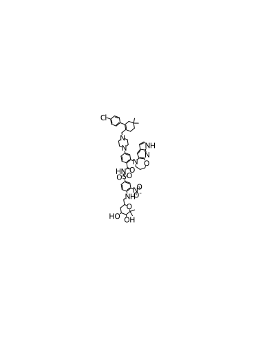 CC1(C)CCC(CN2CCN(c3ccc(C(=O)NS(=O)(=O)c4ccc(NCC5CC(O)C(O)C(C)(C)O5)c([N+](=O)[O-])c4)c(N4CCCOc5nc6[nH]ccc6cc54)c3)CC2)=C(c2ccc(Cl)cc2)C1